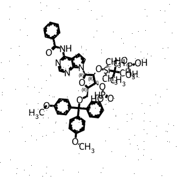 COc1ccc(C(OC[C@H]2O[C@@H](n3ccc4c(NC(=O)c5ccccc5)ncnc43)[C@H](O[Si](C)(C)C(C)(C)C)[C@@H]2O[PH](=O)O)(c2ccccc2)c2ccc(OC)cc2)cc1.OP(O)O